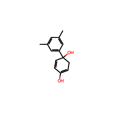 Cc1cc(C)cc(C2(O)C=CC(O)=CC2)c1